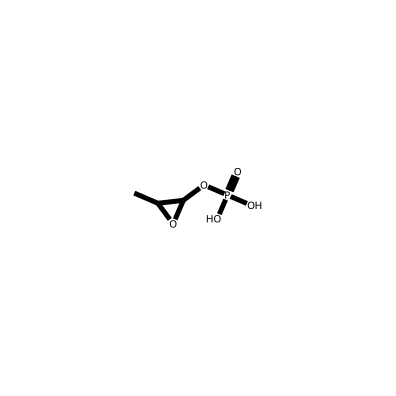 CC1OC1OP(=O)(O)O